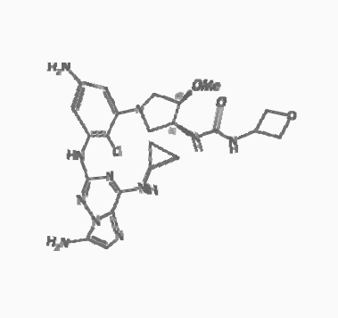 CO[C@@H]1CN(c2cc(N)cc(Nc3nc(NC4CC4)c4ncc(N)n4n3)c2Cl)C[C@@H]1NC(=O)NC1COC1